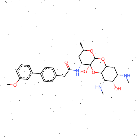 CN[C@H]1CC2OC3O[C@H](C)C[C@@H](NC(=O)Cc4ccc(-c5cccc(OC)c5)cc4)[C@]3(O)OC2[C@@H](NC)[C@H]1O